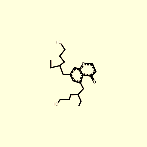 CCC(CCCO)Cc1cc(CC(CC)CCCO)c2c(=O)ccoc2c1